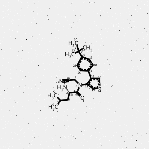 CC(C)C[C@H](N)C(=O)N(CC#N)c1cscc1-c1ccc(C(C)(C)C)cc1